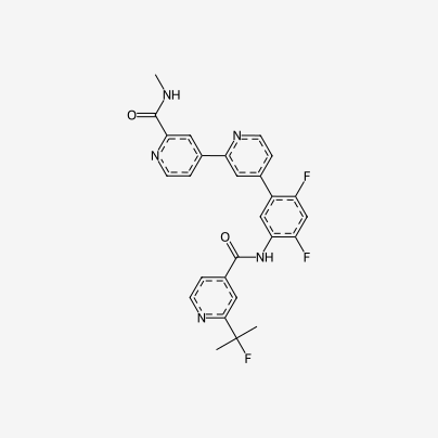 CNC(=O)c1cc(-c2cc(-c3cc(NC(=O)c4ccnc(C(C)(C)F)c4)c(F)cc3F)ccn2)ccn1